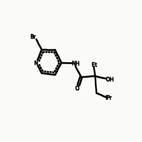 CCC(O)(CC(C)C)C(=O)Nc1ccnc(Br)c1